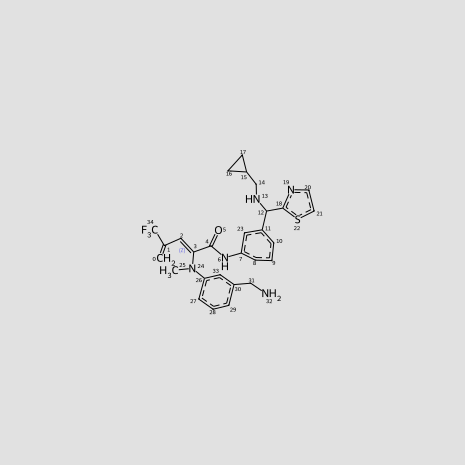 C=C(/C=C(/C(=O)Nc1cccc(C(NCC2CC2)c2nccs2)c1)N(C)c1cccc(CN)c1)C(F)(F)F